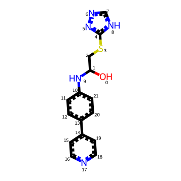 OC(CSc1nnc[nH]1)Nc1ccc(-c2ccncc2)cc1